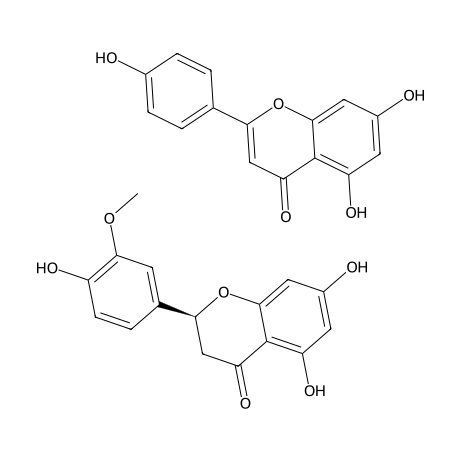 COc1cc([C@@H]2CC(=O)c3c(O)cc(O)cc3O2)ccc1O.O=c1cc(-c2ccc(O)cc2)oc2cc(O)cc(O)c12